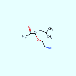 CC(=O)[C@H](CC(C)C)OCCN